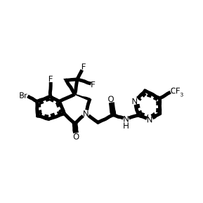 O=C(CN1C[C@]2(CC2(F)F)c2c(ccc(Br)c2F)C1=O)Nc1ncc(C(F)(F)F)cn1